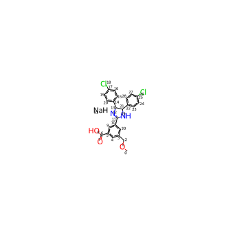 COCc1cc(C(=O)O)cc(C2=NC(c3ccc(Cl)cc3)C(c3ccc(Cl)cc3)N2)c1.[NaH]